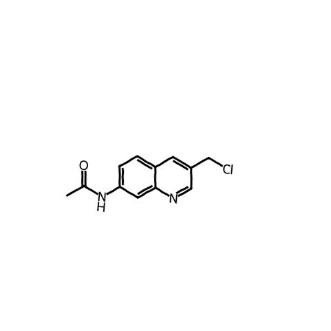 CC(=O)Nc1ccc2cc(CCl)cnc2c1